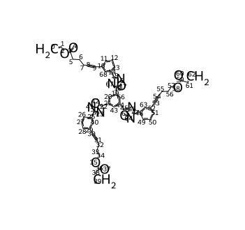 C=COC(=O)CCCC#Cc1cccc(-c2noc(-c3cc(-c4nc(-c5cccc(C#CCCCOC(=O)C=C)c5)no4)cc(-c4nc(-c5cccc(C#CCCCOC(=O)C=C)c5)no4)c3)n2)c1